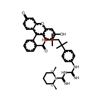 C[C@@H]1CCC[C@H](C)N1C(=N)NC(=N)Nc1ccc(C(C)(C)CC(C)(C)NC(=O)c2ccccc2-c2c3ccc(=O)cc-3oc3cc(O)ccc23)cc1